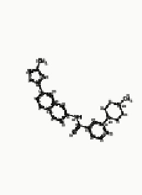 Cc1ncc(-c2ccc3cnc(NC(=O)c4ccnc(N5CCN(C)CC5)c4)cc3n2)s1